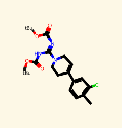 Cc1ccc(C2=CCN(C(=NC(=O)OC(C)(C)C)NC(=O)OC(C)(C)C)CC2)cc1Cl